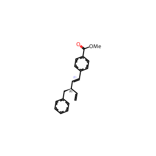 C=C[C@H](/C=C/c1ccc(C(=O)OC)cc1)Cc1ccccc1